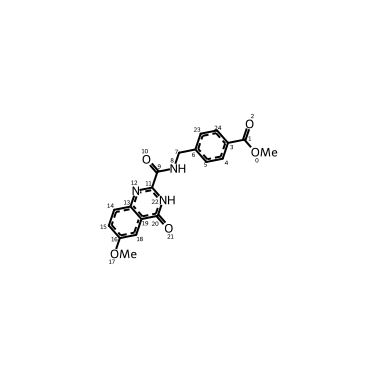 COC(=O)c1ccc(CNC(=O)c2nc3ccc(OC)cc3c(=O)[nH]2)cc1